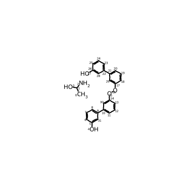 CC(N)O.Oc1cccc(-c2cccc(OOc3cccc(-c4cccc(O)c4)c3)c2)c1